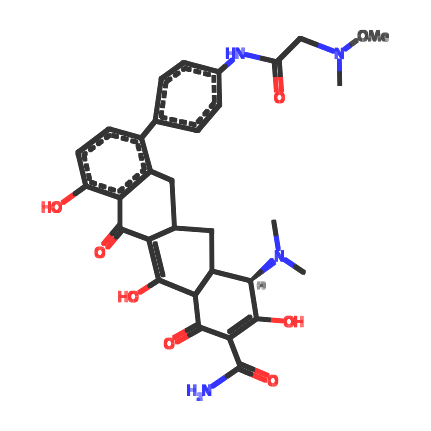 CON(C)CC(=O)Nc1ccc(-c2ccc(O)c3c2CC2CC4C(C(=O)C(C(N)=O)=C(O)[C@@H]4N(C)C)C(O)=C2C3=O)cc1